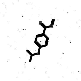 C=NC(=O)c1ccc(OC(C)C)cc1